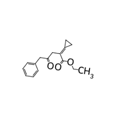 CCOC(=O)C(CC(=O)Cc1ccccc1)=C1CC1